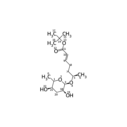 CC1O[C@@H](O[C@H](C)CC/C=C/C(=O)OC(C)(C)C)[C@@H](O)C[C@H]1O